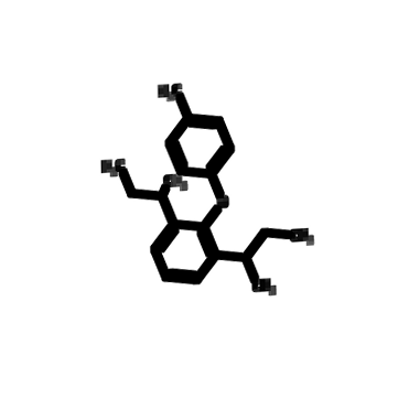 CCC(C)c1cccc(C(C)CC)c1Oc1ccc(C)cc1